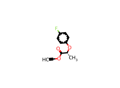 C#COC(=O)[C@@H](C)Oc1ccc(F)cc1